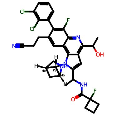 CC(O)c1nc2c(F)c(-c3cccc(Cl)c3Cl)c(CCC#N)cc2c2c1cc(C(C)NC(=O)C1(F)CCC1)n2[C@H]1[C@H]2CN[C@@H]1C2